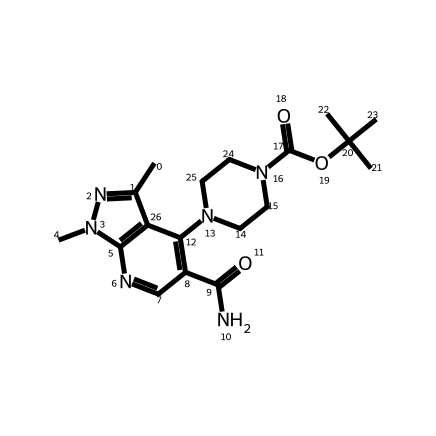 Cc1nn(C)c2ncc(C(N)=O)c(N3CCN(C(=O)OC(C)(C)C)CC3)c12